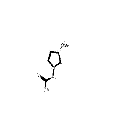 CO[C@H]1CCN(OC(=O)C(C)(C)C)C1